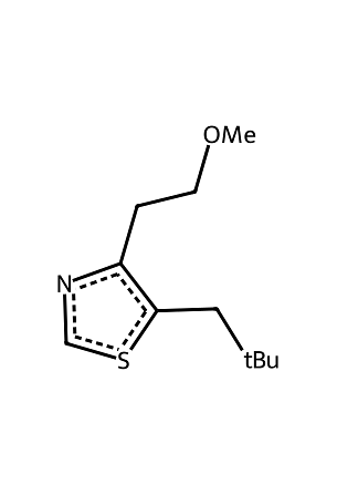 COCCc1ncsc1CC(C)(C)C